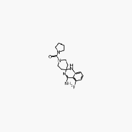 NC1=NC2(CCN(C(=O)N3CCCC3)CC2)Nc2cccc(F)c21